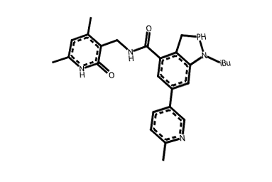 CCC(C)N1PCc2c(C(=O)NCc3c(C)cc(C)[nH]c3=O)cc(-c3ccc(C)nc3)cc21